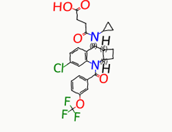 O=C(O)CCC(=O)N(C1CC1)[C@H]1c2ccc(Cl)cc2N(C(=O)c2cccc(OC(F)(F)F)c2)[C@@H]2CC[C@@H]21